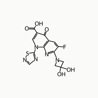 O=C(O)c1cn(-c2ncns2)c2nc(N3CC(O)(O)C3)c(F)cc2c1=O